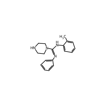 Cc1ccccc1NC(=Nc1ccccc1)N1CCNCC1